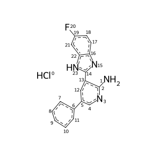 Cl.Nc1ncc(-c2ccccc2)cc1-c1nc2ccc(F)cc2[nH]1